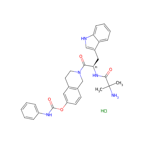 CC(C)(N)C(=O)N[C@H](Cc1c[nH]c2ccccc12)C(=O)N1CCc2cc(OC(=O)Nc3ccccc3)ccc2C1.Cl